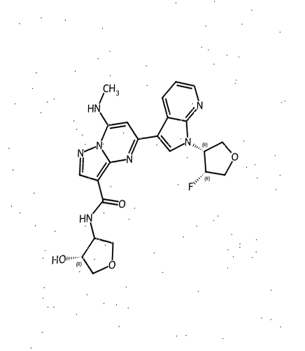 CNc1cc(-c2cn([C@@H]3COC[C@@H]3F)c3ncccc23)nc2c(C(=O)NC3COC[C@@H]3O)cnn12